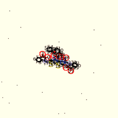 O=C1C(=O)c2ccccc2/C1=C/c1cc2c(s1)c1sc3cc(/C=C4\C(=O)C(=O)c5ccccc54)n(C(=O)OCc4ccccc4)c3c1n2C(=O)OCc1ccccc1